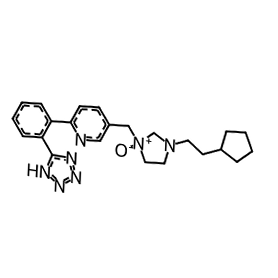 [O-][N+]1(Cc2ccc(-c3ccccc3-c3nnn[nH]3)nc2)CCN(CCC2CCCC2)C1